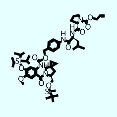 C=CCOC(=O)N1CCC[C@H]1C(=O)N[C@@H](CC(C)C)C(=O)Nc1ccc(COC(=O)Nc2cc(O[Si](C(C)C)(C(C)C)C(C)C)c(OC)cc2C(=O)N2CC3(CC3)C[C@H]2CO[Si](C)(C)C(C)(C)C)cc1